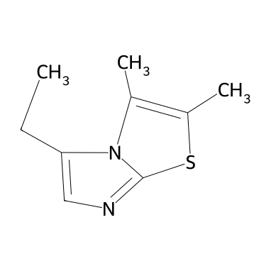 CCc1cnc2sc(C)c(C)n12